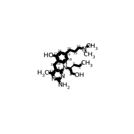 CCC[C@@H](CO)Nc1nc(N)nc(C)c1Cc1ccc(CCCN(C)C)cc1O